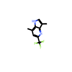 Cc1c[nH]c2c(C)cc(C(F)(F)F)nc12